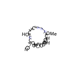 C=C1C[C@H](O)/C(C)=C/CC([C@H](C)Cc2ccncc2)OC(=O)[C@@H]2CCCCN2C(=O)C(=O)[C@]2(O)O[C@@H](CC[C@H]2C)C[C@H](OC)/C(C)=C/C=C/C=C/[C@@H](C)C[C@H]1C